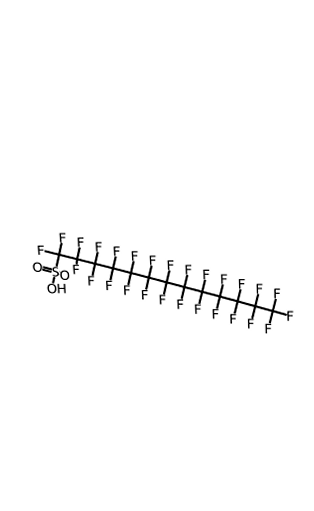 O=S(=O)(O)C(F)(F)C(F)(F)C(F)(F)C(F)(F)C(F)(F)C(F)(F)C(F)(F)C(F)(F)C(F)(F)C(F)(F)C(F)(F)C(F)(F)C(F)(F)F